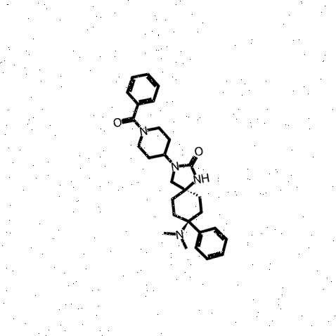 CN(C)[C@]1(c2ccccc2)CC[C@]2(CC1)CN(C1CCN(C(=O)c3ccccc3)CC1)C(=O)N2